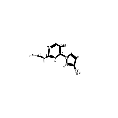 CCCCCNc1ncc(Br)c(-n2ccc(C(F)(F)F)n2)n1